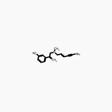 C=C(CN(C)C/C=C/C#CC(C)(C)C)c1cccc(C#N)c1